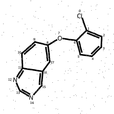 Clc1ccccc1Oc1ccc2ncncc2c1